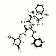 CC1OC(=O)OC1COC(=O)[C@H](CCc1ccccc1)N[C@@H](C)C(=O)N1[C@H](C(=O)O)C[C@H]2CCCC[C@@H]21